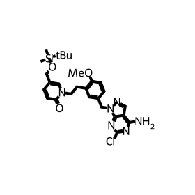 COc1ccc(Cn2ncc3c(N)nc(Cl)nc32)cc1CCn1cc(CO[Si](C)(C)C(C)(C)C)ccc1=O